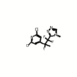 Cn1cnnc1C(F)(F)C(C)(F)c1cc(Cl)nc(Cl)c1